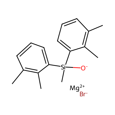 Cc1cccc([Si](C)([O-])c2cccc(C)c2C)c1C.[Br-].[Mg+2]